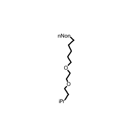 CCCCCCCCCCCCCCOCCOCCC(C)C